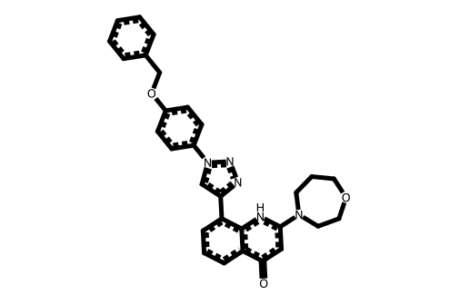 O=c1cc(N2CCCOCC2)[nH]c2c(-c3cn(-c4ccc(OCc5ccccc5)cc4)nn3)cccc12